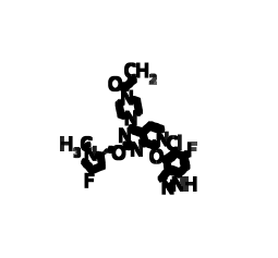 C=CC(=O)N1CCN(c2nc(OC[C@@H]3C[C@H](F)CN3C)nc3c(Oc4c(Cl)c(F)cc5[nH]ncc45)nccc23)CC1